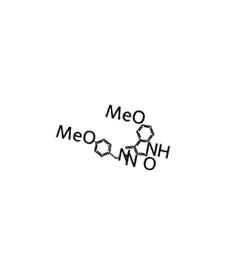 COc1ccc(Cn2cc3c(n2)c(=O)[nH]c2ccc(OC)cc23)cc1